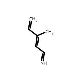 C=C/C(C)=C/C=N